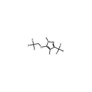 [CH2]c1c(C(F)(F)F)nn(C)c1OCC(F)(F)F